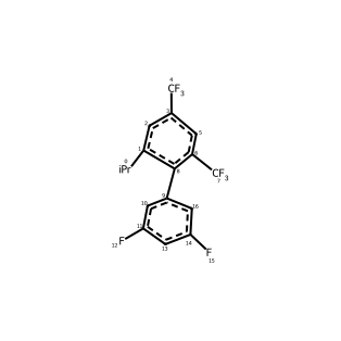 CC(C)c1cc(C(F)(F)F)cc(C(F)(F)F)c1-c1cc(F)cc(F)c1